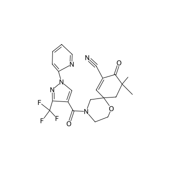 CC1(C)CC2(C=C(C#N)C1=O)CN(C(=O)c1cn(-c3ccccn3)nc1C(F)(F)F)CCO2